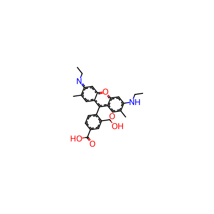 CC/N=c1\cc2oc3cc(NCC)c(C)cc3c(-c3ccc(C(=O)O)cc3C(=O)O)c-2cc1C